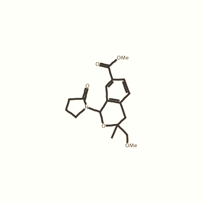 COCC1(C)Cc2ccc(C(=O)OC)cc2C(N2CCCC2=O)O1